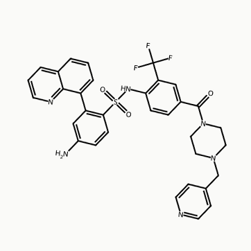 Nc1ccc(S(=O)(=O)Nc2ccc(C(=O)N3CCN(Cc4ccncc4)CC3)cc2C(F)(F)F)c(-c2cccc3cccnc23)c1